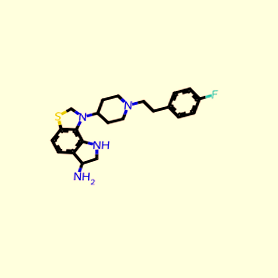 NC1CNc2c1ccc1c2N(C2CCN(CCc3ccc(F)cc3)CC2)CS1